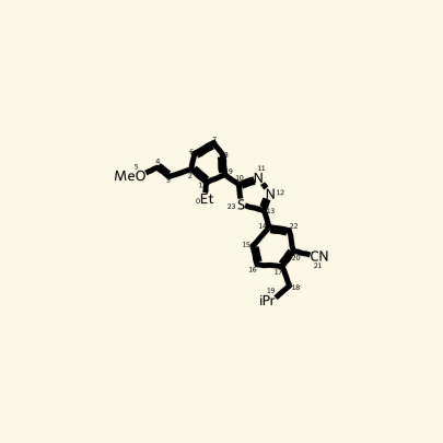 CCc1c(C=COC)cccc1-c1nnc(-c2ccc(CC(C)C)c(C#N)c2)s1